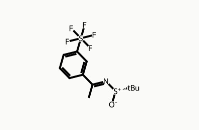 CC(=N[S@@+]([O-])C(C)(C)C)c1cccc(S(F)(F)(F)(F)F)c1